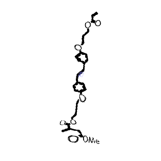 C=CC(=O)OCCCOc1ccc(/C=C/c2ccc(OCCCOC(=O)C(=C)CC(=O)OC)cc2)cc1